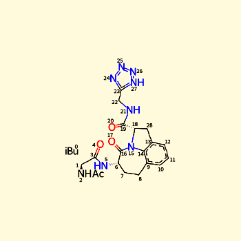 CC[C@H](C)[C@H](NC(C)=O)C(=O)N[C@H]1CCc2cccc3c2N(C1=O)[C@H](C(=O)NCc1nnn[nH]1)C3